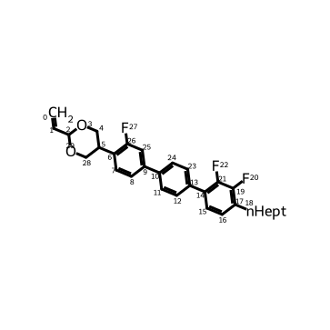 C=CC1OCC(c2ccc(-c3ccc(-c4ccc(CCCCCCC)c(F)c4F)cc3)cc2F)CO1